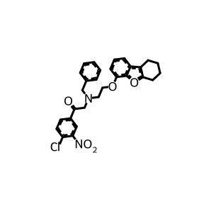 O=C(CN(CCOc1cccc2c3c(oc12)CCCC3)Cc1ccccc1)c1ccc(Cl)c([N+](=O)[O-])c1